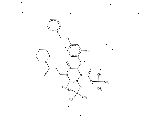 CCN(CCC(C)N1CCCCC1)C(=O)C(Cn1ccc(OCc2ccccc2)cc1=O)N(C(=O)OC(C)(C)C)C(=O)OC(C)(C)C